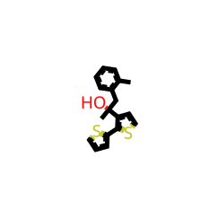 Cc1ccccc1CC(C)(O)c1ccsc1-c1cccs1